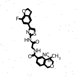 C[C@@]1(C#N)COCc2ccc(C(=O)NCC(=O)Nc3nc(-c4cc(F)c5c(c4)CCO5)cs3)cc21